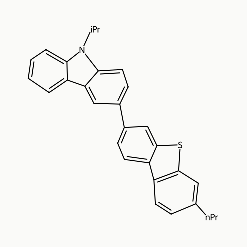 CCCc1ccc2c(c1)sc1cc(-c3ccc4c(c3)c3ccccc3n4C(C)C)ccc12